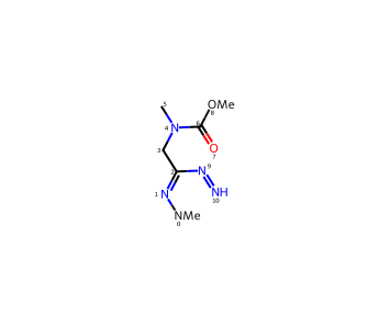 CN/N=C(/CN(C)C(=O)OC)N=N